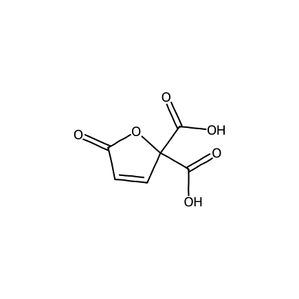 O=C1C=CC(C(=O)O)(C(=O)O)O1